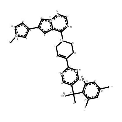 Cn1cc(-c2cc3c(N4CC=C(c5ncc(C(C)(O)c6c(F)cc(F)cc6F)cn5)CC4)ncnn3c2)cn1